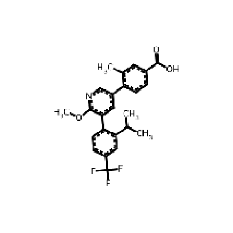 COc1ncc(-c2ccc(C(=O)O)cc2C)cc1-c1ccc(C(F)(F)F)cc1C(C)C